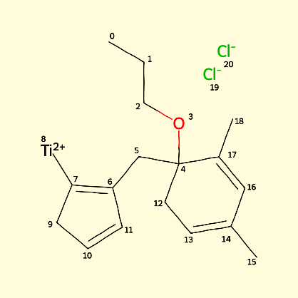 CCCOC1(CC2=[C]([Ti+2])CC=C2)CC=C(C)C=C1C.[Cl-].[Cl-]